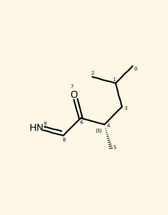 CC(C)C[C@H](C)C(=O)C=N